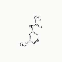 CC(=O)Nc1cn[c]c(C)c1